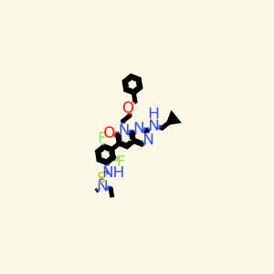 CCN(C)SNc1ccc(F)c(-c2cc3cnc(NCC4CC4)nc3n(CCOCc3ccccc3)c2=O)c1F